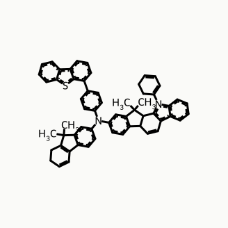 CC1(C)C2=C(C=CCC2)c2ccc(N(c3ccc(-c4cccc5c4sc4ccccc45)cc3)c3ccc4c(c3)C(C)(C)C3c5c(c6ccccc6n5C5=CC=CCC5)C=CC43)cc21